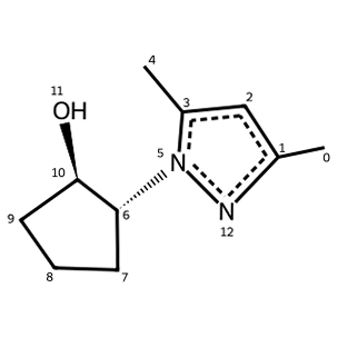 Cc1cc(C)n([C@@H]2CCC[C@H]2O)n1